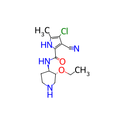 CCO[C@@H]1CNCC[C@H]1NC(=O)c1[nH]c(C)c(Cl)c1C#N